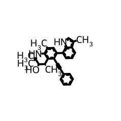 Cc1cc(-c2cccc3c(C)c[nH]c23)c(C#Cc2ccccc2)c2c1NC(C)(C)C(O)[C@H]2C